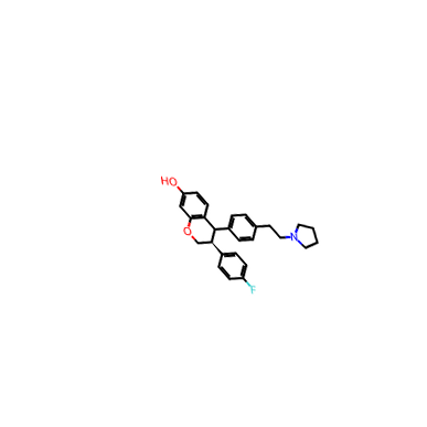 Oc1ccc2c(c1)OC[C@H](c1ccc(F)cc1)C2c1ccc(CCN2CCCC2)cc1